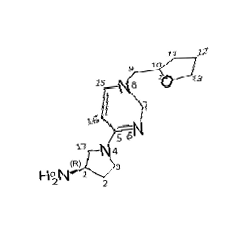 N[C@@H]1CCN(C2=NCN(CC3CCCO3)C=C2)C1